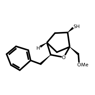 COC[C@@]12C[C@@H](C[C@H]1S)[C@H](Cc1ccccc1)O2